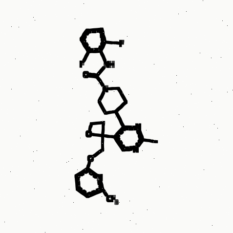 Cc1ncc(C2(COc3cccc(C(F)(F)F)n3)CCO2)c(C2CCN(C(=O)Nc3c(F)cccc3F)CC2)n1